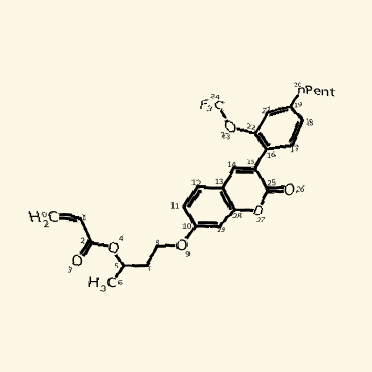 C=CC(=O)OC(C)CCOc1ccc2cc(-c3ccc(CCCCC)cc3OC(F)(F)F)c(=O)oc2c1